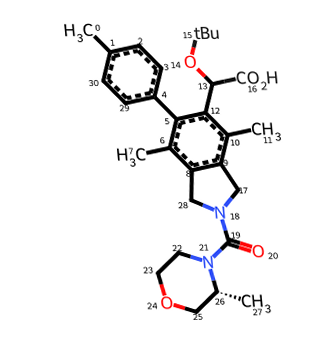 Cc1ccc(-c2c(C)c3c(c(C)c2C(OC(C)(C)C)C(=O)O)CN(C(=O)N2CCOC[C@H]2C)C3)cc1